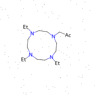 CCN1CCN(CC)CCN(CC(C)=O)CCN(CC)CC1